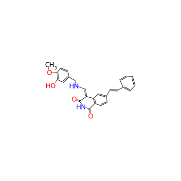 COc1ccc(CNC=C2C(=O)NC(=O)c3ccc(C=Cc4ccccc4)cc32)cc1O